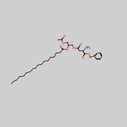 CCCCCCCCCCCCCCCCCC(=O)OC(COC(C)=O)COC(=O)CC(N)C(=O)OCc1ccccc1